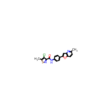 Cc1ccc2oc(-c3ccc(NC(=O)c4nsc(C)c4Cl)cc3)cc2n1